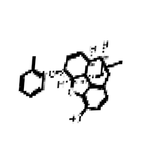 CN1CC[C@]23c4c5ccc(O)c4O[C@H]2[C@@H](O)C=C[C@H]3[C@H]1C5.Cc1ccccc1